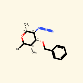 CC[C]1O[C@H](C)[C@@H](N=[N+]=[N-])[C@H](OCc2ccccc2)[C@@H]1OC(C)=O